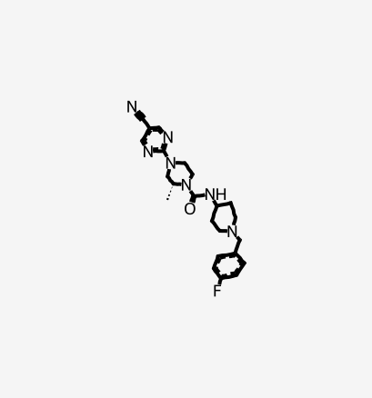 C[C@@H]1CN(c2ncc(C#N)cn2)CCN1C(=O)NC1CCN(Cc2ccc(F)cc2)CC1